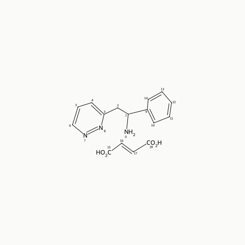 NC(Cc1cccnn1)c1ccccc1.O=C(O)C=CC(=O)O